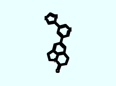 O=C1CCc2cc(-c3cncc(-c4cscn4)c3)cc3c2N1CC3